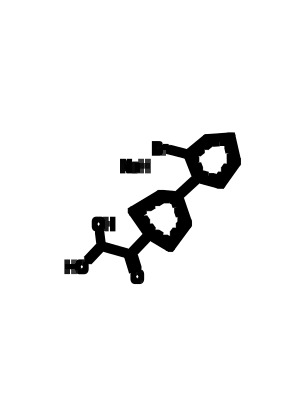 O=C(c1ccc(-c2ccccc2Br)cc1)C(O)O.[NaH]